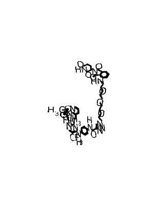 CN(c1ncccc1CNc1ncc(C(F)(F)F)c(Nc2ccc(NC(=O)c3cn(CCOCCOCCOCCNc4cccc5c4C(=O)N(C4CCC(=O)NC4=O)C5=O)nn3)cc2)n1)S(C)(=O)=O